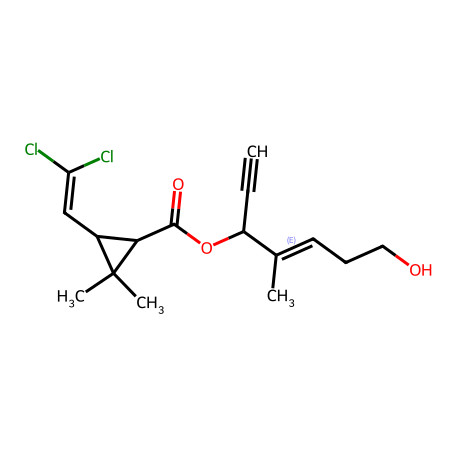 C#CC(OC(=O)C1C(C=C(Cl)Cl)C1(C)C)/C(C)=C/CCO